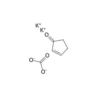 O=C([O-])[O-].O=C1C=CCC1.[K+].[K+]